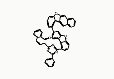 C=Cc1ccccc1/C=C\Cc1nc(-c2ccccc2)nc(-c2cccc3oc4cc(-c5cccc6oc7cc8ccccc8cc7c56)ccc4c23)n1